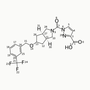 O=C(O)c1ccn(C(=O)N2C[C@H]3CC(OCc4cccc(C(F)(F)F)c4)C[C@H]3C2)n1